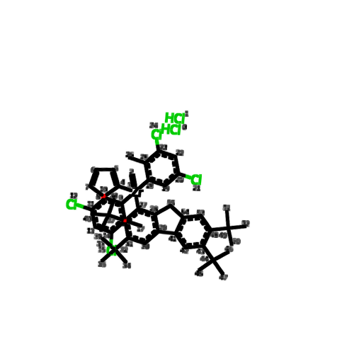 Cl.Cl.[CH2]=[Zr]([C]1=CC=CC1)([c]1cc(Cl)cc(Cl)c1C)([c]1cc(Cl)cc(Cl)c1C)[c]1c2c(cc(C(C)(C)C)c1C(C)(C)C)-c1cc(C(C)(C)C)c(C(C)(C)C)cc1C2